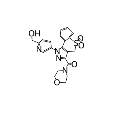 O=C(c1nn(-c2ccc(CO)nc2)c2c1CS(=O)(=O)c1ccccc1-2)N1CCOCC1